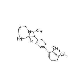 Cc1cccc(-c2ccc([C@@H]3[C@@H](O)N4C/C=C\CNC[C@@H]34)cc2)c1C